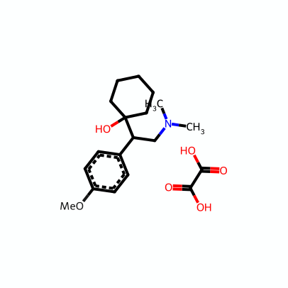 COc1ccc(C(CN(C)C)C2(O)CCCCC2)cc1.O=C(O)C(=O)O